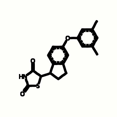 Cc1cc(C)cc(Oc2ccc3c(c2)CCC3C2SC(=O)NC2=O)c1